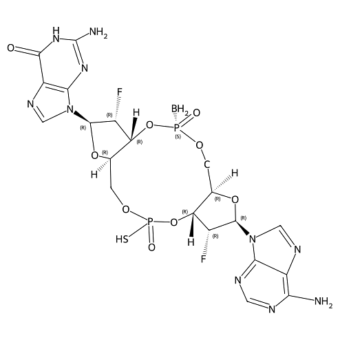 B[P@]1(=O)OC[C@H]2O[C@@H](n3cnc4c(N)ncnc43)[C@H](F)[C@@H]2OP(=O)(S)OC[C@H]2O[C@@H](n3cnc4c(=O)[nH]c(N)nc43)[C@H](F)[C@@H]2O1